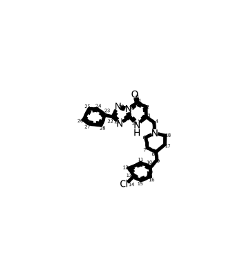 O=c1cc(CN2CCC(Cc3ccc(Cl)cc3)CC2)[nH]c2nc(-c3ccccc3)nn12